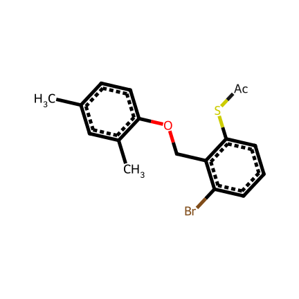 CC(=O)Sc1cccc(Br)c1COc1ccc(C)cc1C